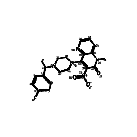 CC(c1ccc(F)cc1)N1CCN(c2c([N+](=O)[O-])c(=O)n(C)c3cccnc23)CC1